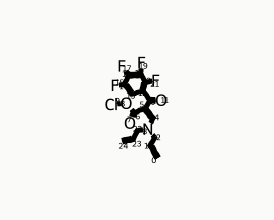 C=CCN(C=C(C(=O)OCl)C(=O)c1cc(F)c(F)c(F)c1F)CC=C